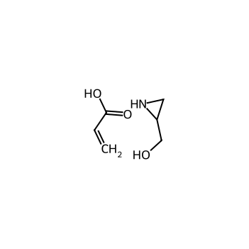 C=CC(=O)O.OCC1CN1